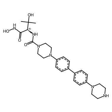 CC(C)(O)[C@@H](NC(=O)N1CCN(c2ccc(-c3ccc(N4CCNCC4)cc3)cc2)CC1)C(=O)NO